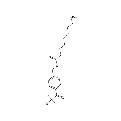 CCCCCCCCCCCCCCCCCC(=O)OCc1ccc(C(=O)C(C)(C)O)cc1